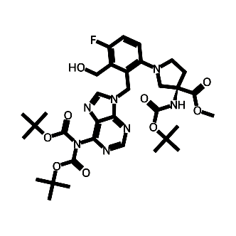 COC(=O)[C@@]1(NC(=O)OC(C)(C)C)CCN(c2ccc(F)c(CO)c2Cn2cnc3c(N(C(=O)OC(C)(C)C)C(=O)OC(C)(C)C)ncnc32)C1